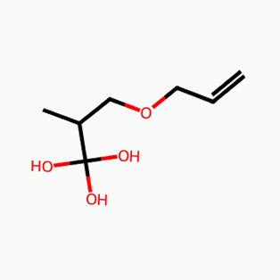 C=CCOCC(C)C(O)(O)O